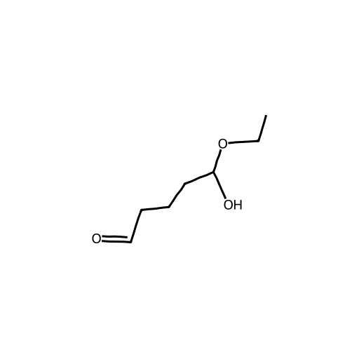 CCOC(O)CCCC=O